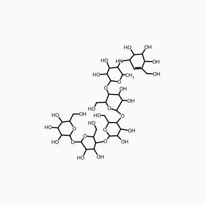 CC1OC(OC2C(CO)OC(OC3C(CO)OC(OC4C(CO)OC(OC5OC(CO)C(O)C(O)C5O)C(O)C4O)C(O)C3O)C(O)C2O)C(O)C(O)C1NC1C=C(CO)C(O)C(O)C1O